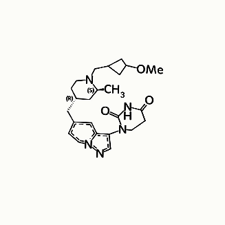 COC1CC(CN2CC[C@@H](Cc3ccn4ncc(N5CCC(=O)NC5=O)c4c3)C[C@@H]2C)C1